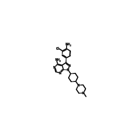 CN1CCN(C2CCC(n3nc(-c4ccc(N)c(Cl)c4)c4c(N)ncnc43)CC2)CC1